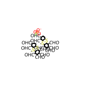 C[S+]1c2c(ccc(C=O)c2C=O)Sc2c(C=O)c(C=O)c(C=O)c(C=O)c21.C[S+]1c2c(ccc(C=O)c2C=O)Sc2c(C=O)c(C=O)c(C=O)c(C=O)c21.O=P([O-])([O-])F